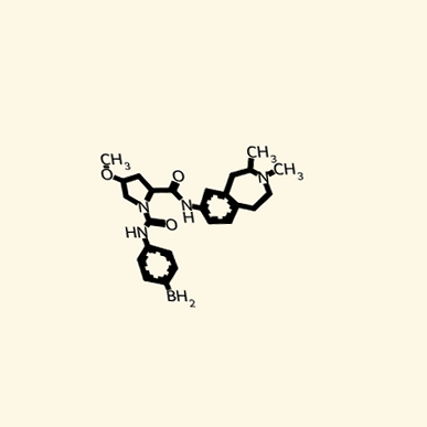 Bc1ccc(NC(=O)N2CC(OC)CC2C(=O)Nc2ccc3c(c2)CC(C)N(C)CC3)cc1